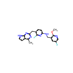 COc1ncc(F)cc1CNc1ccc(Cc2nc(C)c3cc[nH]c3n2)c(F)n1